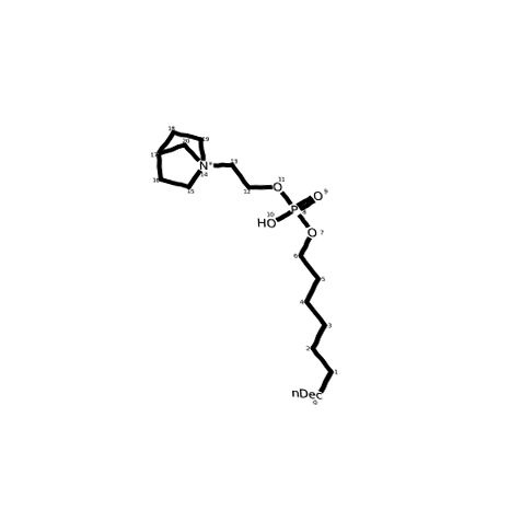 CCCCCCCCCCCCCCCCOP(=O)(O)OCC[N+]12CCC(CC1)C2